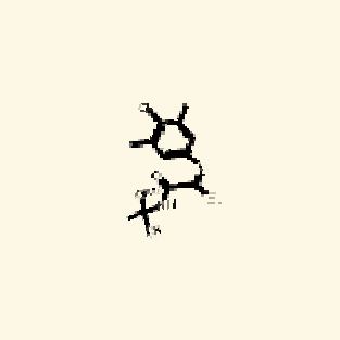 CCC(Oc1cc(C)c(Cl)c(C)c1)C(=O)NC(C)(C#N)OC